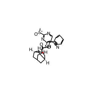 C[S+]([O-])c1ncc(C#N)c(NC[C@]23CC4C[C@H](C2)[C@@H](NC(=O)OCc2ccccc2)[C@@H](C4)C3)n1